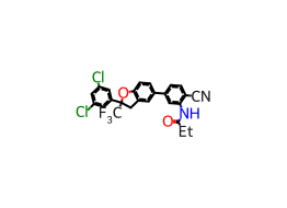 CCC(=O)Nc1cc(-c2ccc3c(c2)CC(c2cc(Cl)cc(Cl)c2)(C(F)(F)F)O3)ccc1C#N